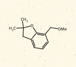 COCc1cccc2c1OC(C)(C)C2